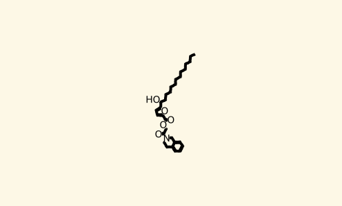 CCCCCCCCCCCCCC(O)c1ccc(C(=O)OCC(=O)N2CCc3ccccc3C2)o1